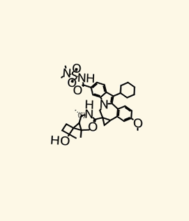 COc1ccc2c(c1)C1CC1(C(=O)N[C@@H](C)C1C(C)(C)C13CCC3(C)O)Cn1c-2c(C2CCCCC2)c2ccc(C(=O)NS(=O)(=O)N(C)C)cc21